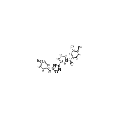 O=C(c1ccc(F)c(F)c1)N1CCC[C@H](c2noc(Cc3ccc(F)cc3)n2)C1